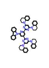 c1ccc2c(c1)CCCN2c1cc(N2CCCc3ccccc32)nc(-c2cc(-c3nc(N4CCCc5ccccc54)cc(N4CCCc5ccccc54)n3)nc(-n3c4ccccc4c4ccccc43)c2)n1